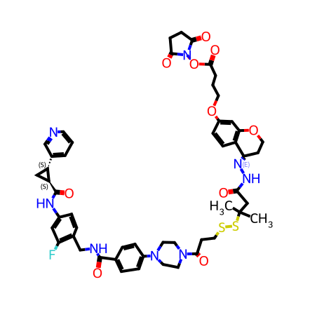 CC(C)(CC(=O)N/N=C1\CCOc2cc(OCCCC(=O)ON3C(=O)CCC3=O)ccc21)SSCCC(=O)N1CCN(c2ccc(C(=O)NCc3ccc(NC(=O)[C@H]4C[C@@H]4c4cccnc4)cc3F)cc2)CC1